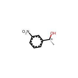 C[C@@H](O)c1[c]ccc([N+](=O)[O-])c1